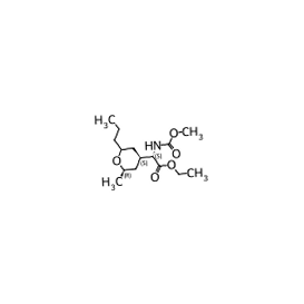 CCCC1C[C@@H]([C@H](NC(=O)OC)C(=O)OCC)C[C@@H](C)O1